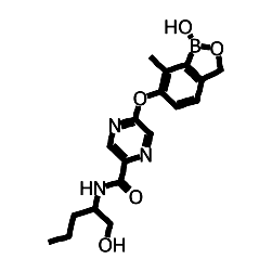 CCCC(CO)NC(=O)c1cnc(Oc2ccc3c(c2C)B(O)OC3)cn1